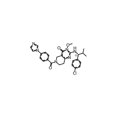 COn1c(N[C@H](c2ccc(Cl)cc2)C(C)C)nc2c(c1=O)CN(C(=O)c1ccc(-n3ccnc3)cc1)CC2